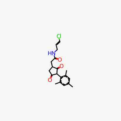 Cc1cc(C)c(C2C(=O)CC(CC(=O)NC/C=C/Cl)C2=O)c(C)c1